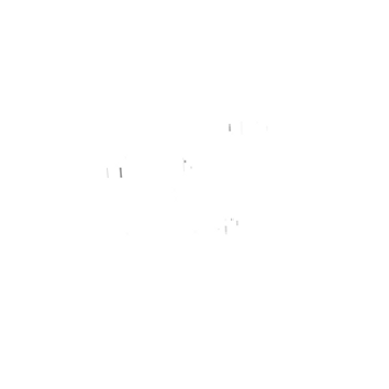 CC(C)c1cccc(C(C)C)c1N=CC=O